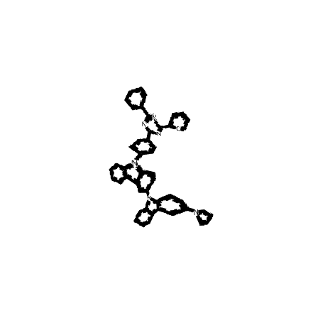 c1ccc(-c2nc(-c3ccccc3)nc(-c3ccc(-n4c5ccccc5c5cc(-n6c7ccccc7c7cc(-n8cccc8)ccc76)ccc54)cc3)n2)cc1